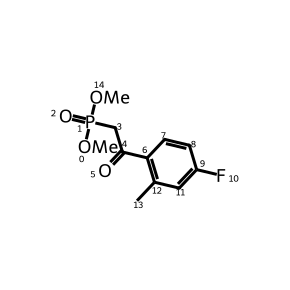 COP(=O)(CC(=O)c1ccc(F)cc1C)OC